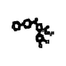 CN(C(=O)O)[C@H]1CN(C(=O)C2CCN(C3CCOCC3)CC2)C[C@@H]1c1ccc(Cl)c(Cl)c1